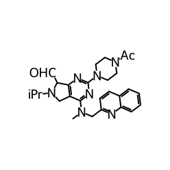 CC(=O)N1CCN(c2nc3c(c(N(C)Cc4ccc5ccccc5n4)n2)CN(C(C)C)C3C=O)CC1